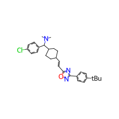 CN(C)C(c1ccc(Cl)cc1)C1CCC(C=Cc2nc(-c3ccc(C(C)(C)C)cc3)no2)CC1